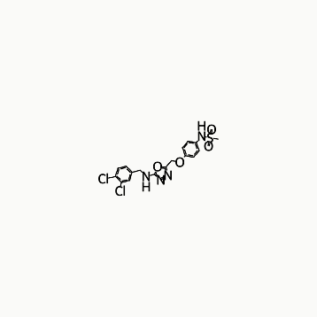 CS(=O)(=O)Nc1ccc(OCc2nnc(NCc3ccc(Cl)c(Cl)c3)o2)cc1